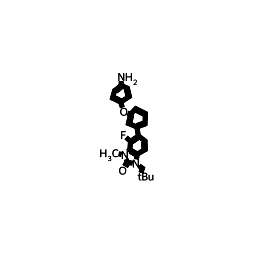 Cn1c(=O)n(CC(C)(C)C)c2ccc(-c3cccc(Oc4ccc(N)cc4)c3)c(F)c21